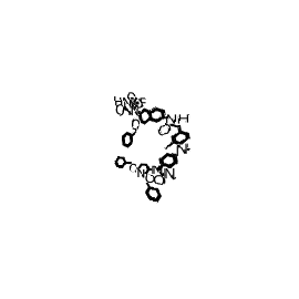 Cc1cc(CC(=O)Nc2ccc3c(F)c(N4CC(=O)NS4(=O)=O)c(OCc4ccccc4)cc3c2)ccc1N(C)c1ccc2c(c1)n(C)c(=O)n2-c1ccc(OCc2ccccc2)nc1OCc1ccccc1